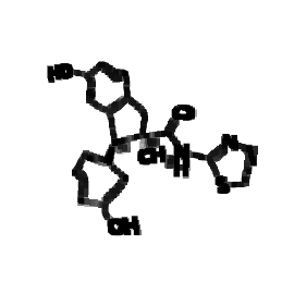 C[C@@]1(C(=O)Nc2nncs2)Cc2ccc(O)cc2[C@@H]1c1cccc(O)c1